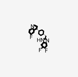 Fc1ccc2nccc([C@H]3CC[C@@H](Cc4nc5cc(F)c(F)cc5[nH]4)CC3)c2c1